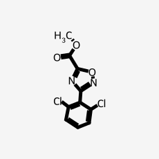 COC(=O)c1nc(-c2c(Cl)cccc2Cl)no1